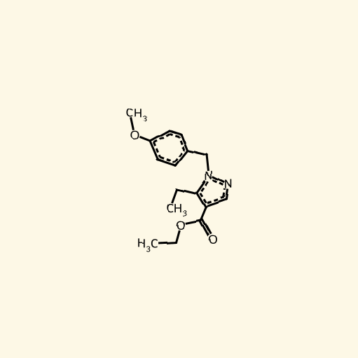 CCOC(=O)c1cnn(Cc2ccc(OC)cc2)c1CC